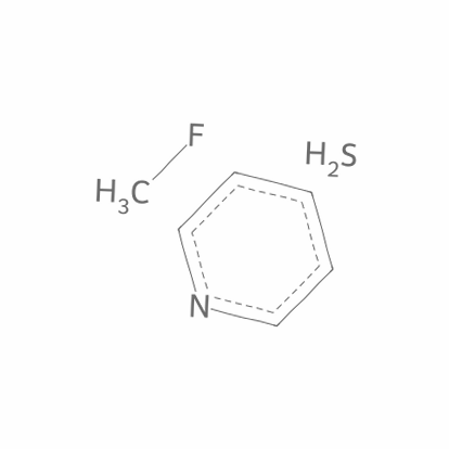 CF.S.c1ccncc1